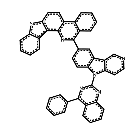 c1ccc(-c2nc(-n3c4ccncc4c4cc(-c5nc6c(ccc7sc8ccccc8c76)c6ccccc56)ccc43)nc3ccccc23)cc1